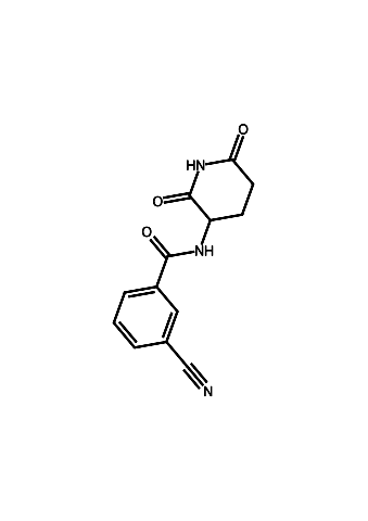 N#Cc1cccc(C(=O)NC2CCC(=O)NC2=O)c1